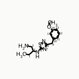 CCC(CN)Nc1nc(Cc2cccc(OC)c2)ns1